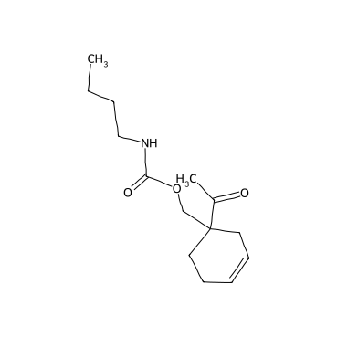 CCCCNC(=O)OCC1(C(C)=O)CC=CCC1